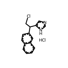 Cl.ClCC(c1ccc2ccccc2c1)c1cnc[nH]1